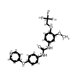 COc1cc(NC(=O)Nc2ccc(Oc3ccncc3)cc2)ccc1OCC(F)(F)F